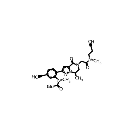 C#CCCN(C)C(=O)CN1CC(C)n2nc(-c3ccc(C#C)cc3N(C)C(=O)C(C)(C)C)cc2C1=O